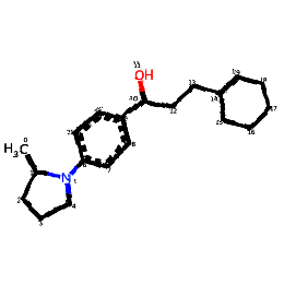 CC1CCCN1c1ccc(C(O)CCC2CCCCC2)cc1